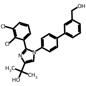 CC(C)(O)c1cn(-c2ccc(-c3cccc(CO)c3)cc2)c(-c2cccc(Cl)c2Cl)n1